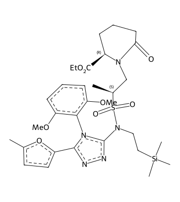 CCOC(=O)[C@H]1CCCC(=O)N1C[C@H](C)S(=O)(=O)N(CC[Si](C)(C)C)c1nnc(-c2ccc(C)o2)n1-c1c(OC)cccc1OC